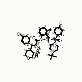 C[C@@H]1CN(C(C)(C)C)C[C@H](CCc2c(F)cccc2NC(=O)[C@@H](N=[N+]=[N-])[C@@H](c2ccc(Cl)cc2)C2CCOCC2)N1S(=O)(=O)c1ccc(F)cc1